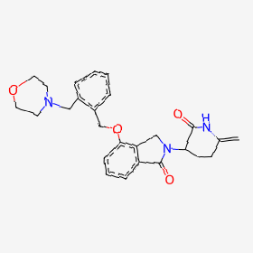 C=C1CCC(N2Cc3c(OCc4ccccc4CN4CCOCC4)cccc3C2=O)C(=O)N1